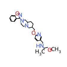 COCC(C)NCc1ccc(OCC2CCC3CN(c4noc5ccccc45)CCN3C2)nc1